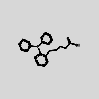 O=C(O)CCCCc1ccccc1P(c1ccccc1)c1ccccc1